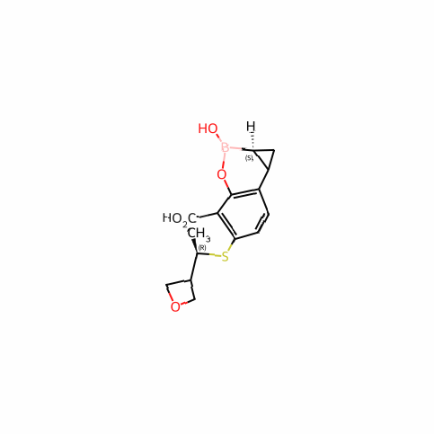 C[C@@H](Sc1ccc2c(c1C(=O)O)OB(O)[C@H]1CC21)C1COC1